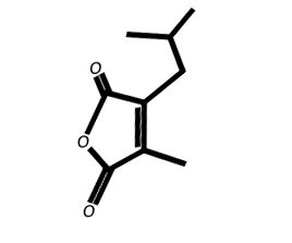 CC1=C(CC(C)C)C(=O)OC1=O